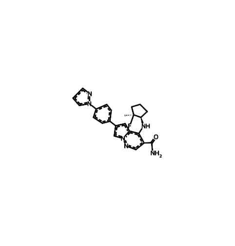 C[C@]1(F)CCC[C@H]1Nc1c(C(N)=O)cnn2cc(-c3ccc(-n4cccn4)cc3)cc12